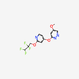 COc1cnnc(Oc2ccnc(OCC(F)(F)C(F)F)c2)c1